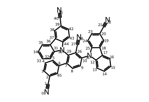 N#Cc1cccc(-c2ccc(-n3c4ccccc4c4cc(C#N)ccc43)c(C#N)c2-n2c3ccccc3c3cc(C#N)ccc32)c1